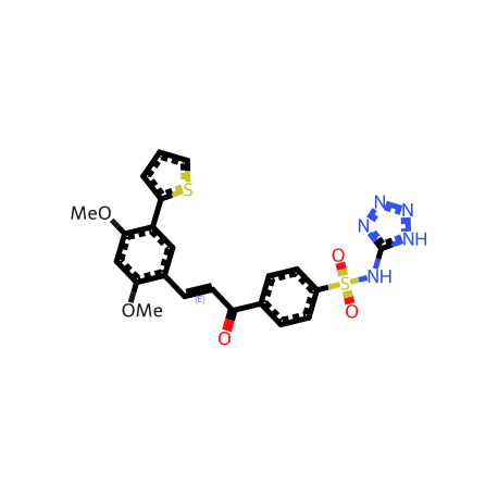 COc1cc(OC)c(-c2cccs2)cc1/C=C/C(=O)c1ccc(S(=O)(=O)Nc2nnn[nH]2)cc1